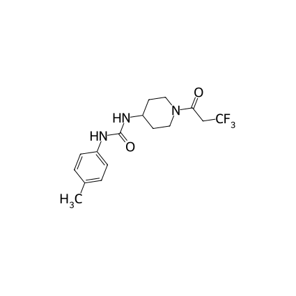 Cc1ccc(NC(=O)NC2CCN(C(=O)CC(F)(F)F)CC2)cc1